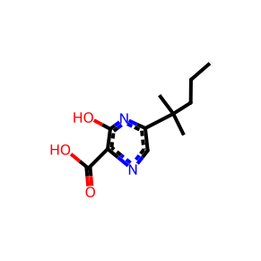 CCCC(C)(C)c1cnc(C(=O)O)c(O)n1